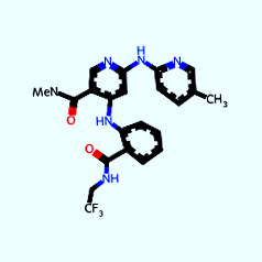 CNC(=O)c1cnc(Nc2ccc(C)cn2)cc1Nc1ccccc1C(=O)NCC(F)(F)F